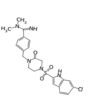 CN(C)C(=N)c1ccc(CN2CCN(S(=O)(=O)c3cc4ccc(Cl)cc4[nH]3)CC2=O)cc1